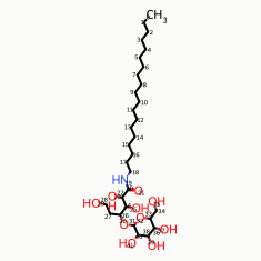 CCCCCCCCCCCCCCCCCCCNC(=O)C(O)C(O)C(CCO)OC1OC(CO)C(O)C(O)C1O